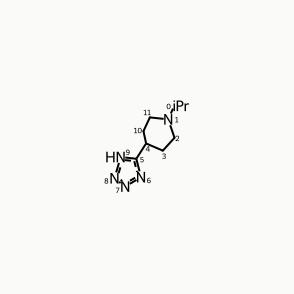 CC(C)N1CCC(c2nnn[nH]2)CC1